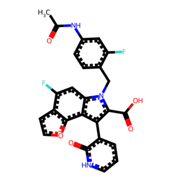 CC(=O)Nc1ccc(Cn2c(C(=O)O)c(-c3ccc[nH]c3=O)c3c4occc4c(F)cc32)c(F)c1